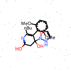 CCCCC1=C(c2c(OC)cccc2OC)C(O)(N2NC=CO2)CC(O)=N1